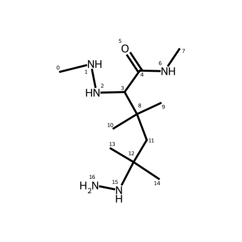 CNNC(C(=O)NC)C(C)(C)CC(C)(C)NN